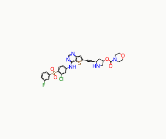 O=C(OC1CNC(C#Cc2cc3ncnc(Nc4ccc(S(=O)(=O)c5cccc(F)c5)c(Cl)c4)c3s2)C1)N1CCOCC1